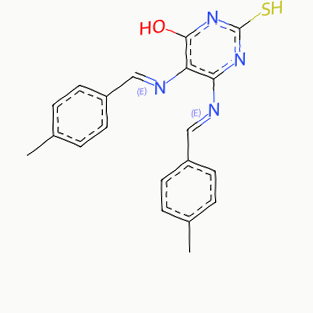 Cc1ccc(/C=N/c2nc(S)nc(O)c2/N=C/c2ccc(C)cc2)cc1